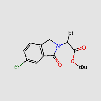 CCC(C(=O)OC(C)(C)C)N1Cc2ccc(Br)cc2C1=O